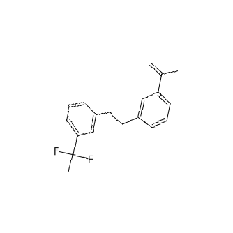 C=C(C)c1cccc(CCc2cccc(C(C)(F)F)c2)c1